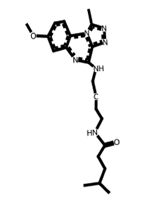 COc1ccc2c(c1)nc(NCCCCNC(=O)CCC(C)C)c1nnc(C)n12